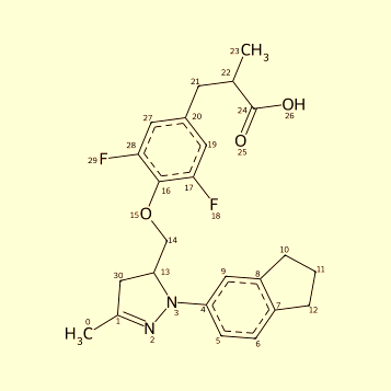 CC1=NN(c2ccc3c(c2)CCC3)C(COc2c(F)cc(CC(C)C(=O)O)cc2F)C1